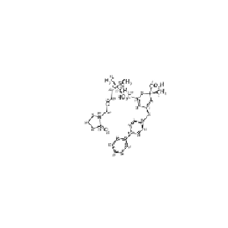 CC1(C(=O)O)C=C(Cc2ccc(-c3ccccc3)cc2)C=C(C(=O)O)C1.C[Si](C)(C)CCOCN1CCCC1=O